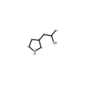 [CH2]C(O)CC1CCNC1